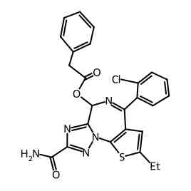 CCc1cc2c(s1)-n1nc(C(N)=O)nc1C(OC(=O)Cc1ccccc1)N=C2c1ccccc1Cl